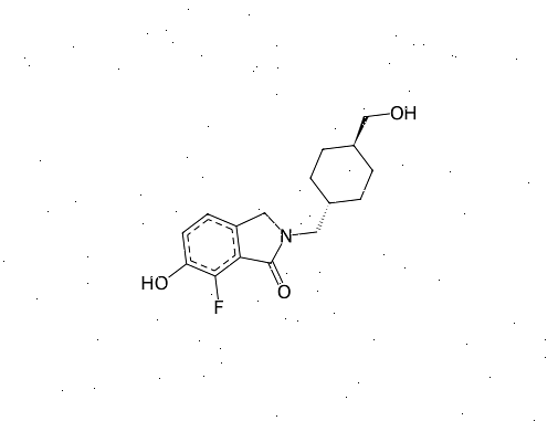 O=C1c2c(ccc(O)c2F)CN1C[C@H]1CC[C@H](CO)CC1